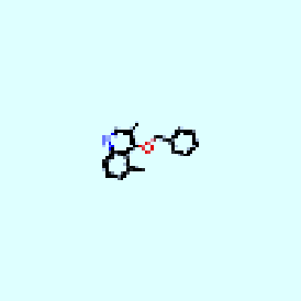 Cc1cnc2cccc(C)c2c1OCc1ccccc1